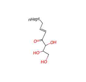 CCCCCCCCC=CC(=O)C(O)C(O)CO